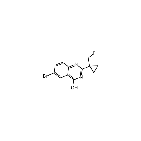 Oc1nc(C2(CF)CC2)nc2ccc(Br)cc12